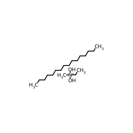 CCCCCCCCCCCCCCCC.CC[N+](C)(O)O